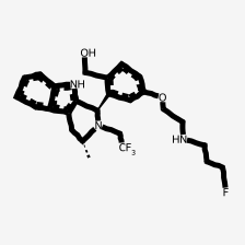 C[C@@H]1Cc2c([nH]c3ccccc23)[C@@H](c2cc(OCCNCCCF)ccc2CO)N1CC(F)(F)F